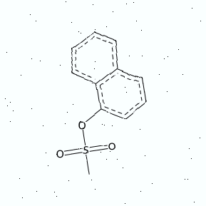 CS(=O)(=O)Oc1cccc2ccccc12